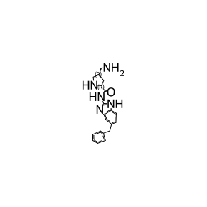 NC[C@@H]1CN[C@@H](C(=O)Nc2nc3cc(Cc4ccccc4)ccc3[nH]2)C1